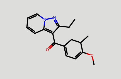 CCc1nn2ccccc2c1C(=O)C1=CC=C(OC)C(C)C1